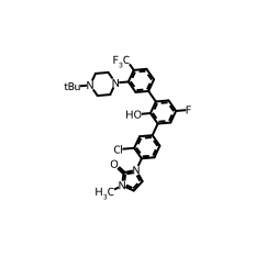 Cn1ccn(-c2ccc(-c3cc(F)cc(-c4ccc(C(F)(F)F)c(N5CCN(C(C)(C)C)CC5)c4)c3O)cc2Cl)c1=O